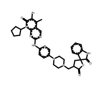 CC(=O)c1c(C)c2cnc(Nc3ccc(N4CCN(CC5CC6(OC5=O)C(=O)Nc5ccccc56)CC4)cn3)nc2n(C2CCCC2)c1=O